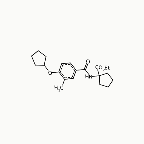 CCOC(=O)C1(NC(=O)c2ccc(OC3CCCC3)c(C)c2)CCCC1